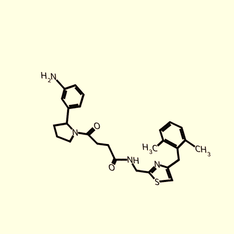 Cc1cccc(C)c1Cc1csc(CNC(=O)CCC(=O)N2CCCC2c2cccc(N)c2)n1